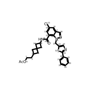 CC(=O)OCCC1CC2(C1)CC(NC(=O)c1cc(Cl)cc3cnn(Cc4cnc(-c5ccccc5)s4)c13)C2